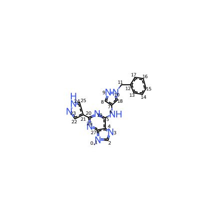 Cn1cnc2c(Nc3cnn(Cc4ccccc4)c3)nc(-c3cn[nH]c3)nc21